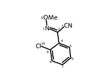 CON=C(C#N)c1ccccc1Cl